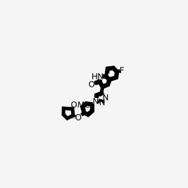 CO[C@H]1CCC[C@@H]1Oc1ccc(-n2cc(-c3cc4cc(F)ccc4[nH]c3=O)nn2)cc1